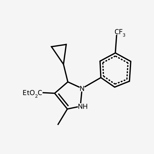 CCOC(=O)C1=C(C)NN(c2cccc(C(F)(F)F)c2)C1C1CC1